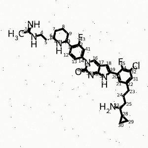 CC(=N)NCC[C@@H]1CCC[C@@H](c2ccc(-n3cc4cc(-c5cc(CCCC(N)C6CC6)cc(Cl)c5F)[nH]c4nc3=O)cc2F)N1